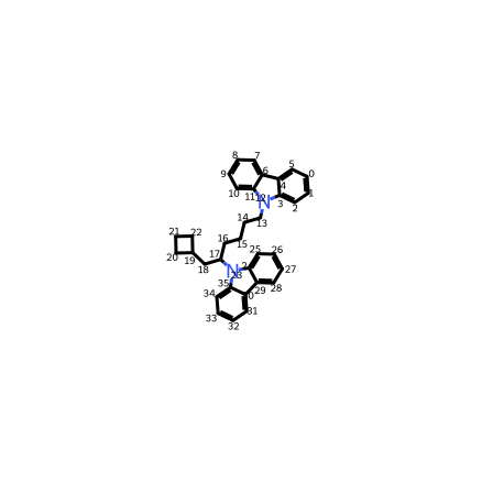 c1ccc2c(c1)c1ccccc1n2CCCCC(CC1CCC1)n1c2ccccc2c2ccccc21